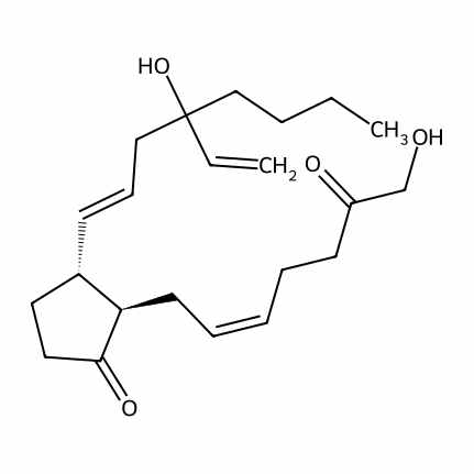 C=CC(O)(C/C=C/[C@H]1CCC(=O)[C@@H]1C/C=C\CCC(=O)CO)CCCC